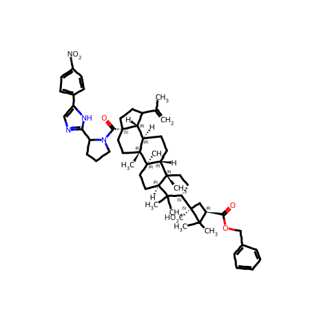 C=C(C)C1CC[C@]2(C(=O)N3CCCC3c3ncc(-c4ccc([N+](=O)[O-])cc4)[nH]3)CC[C@]3(C)[C@H](CC[C@@H]4[C@]5(C)CC[C@H]([C@@]6(C(=O)O)C[C@@H](C(=O)OCc7ccccc7)C6(C)C)C(C)(C)[C@H]5CC[C@]43C)[C@@H]12